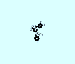 CN(Cc1ccc(F)cc1F)C1CC(C(=O)O)N(Cc2ccc(Cl)c(Cl)c2)C1